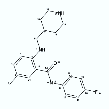 Cc1ccc(NCC2CCNCC2)c(C(=O)Nc2ccc(F)cn2)c1